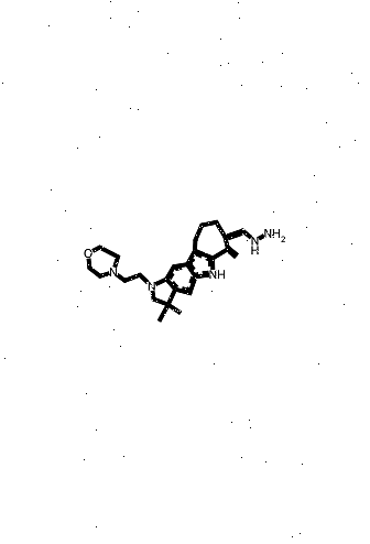 C=C1/C(=C\NN)CCCc2c1[nH]c1cc3c(cc21)N(CCN1CCOCC1)CC3(C)C